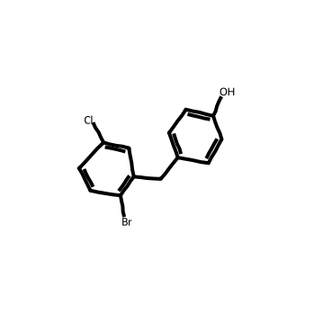 Oc1ccc(Cc2cc(Cl)ccc2Br)cc1